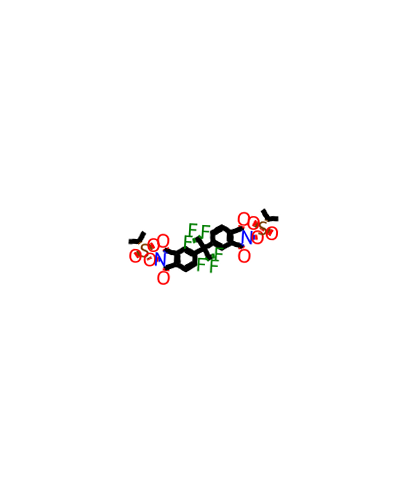 CC(C)S(=O)(=O)ON1C(=O)c2ccc(C(c3ccc4c(c3)C(=O)N(OS(=O)(=O)C(C)C)C4=O)(C(F)(F)F)C(F)(F)F)cc2C1=O